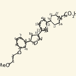 COCCOc1cccc(C2CC(c3csc(C4CCN(C(=O)O)CC4)n3)=NO2)c1